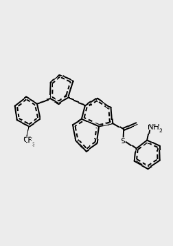 C=C(Sc1ccccc1N)c1ccc(-c2cccc(-c3cccc(C(F)(F)F)c3)c2)c2ccccc12